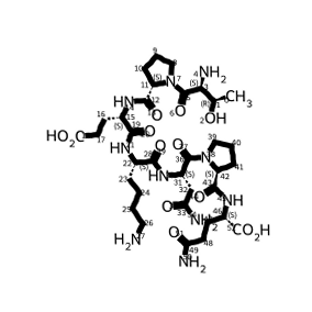 C[C@@H](O)[C@H](N)C(=O)N1CCC[C@H]1C(=O)N[C@@H](CCC(=O)O)C(=O)N[C@@H](CCCCN)C(=O)N[C@@H](CC(N)=O)C(=O)N1CCC[C@H]1C(=O)N[C@@H](CCC(N)=O)C(=O)O